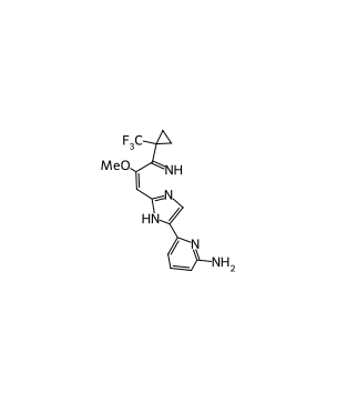 CO/C(=C/c1ncc(-c2cccc(N)n2)[nH]1)C(=N)C1(C(F)(F)F)CC1